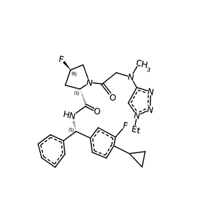 CCn1cc(N(C)CC(=O)N2C[C@H](F)C[C@H]2C(=O)N[C@@H](c2ccccc2)c2ccc(C3CC3)c(F)c2)nn1